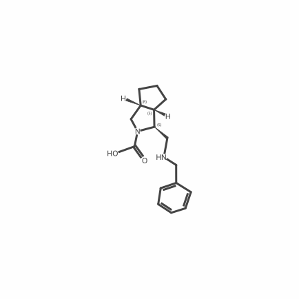 O=C(O)N1C[C@@H]2CCC[C@@H]2[C@H]1CNCc1ccccc1